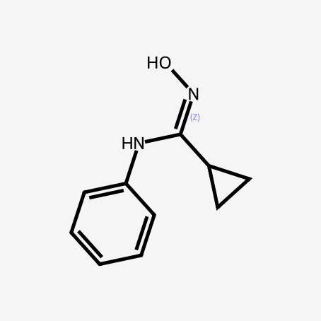 O/N=C(\Nc1ccccc1)C1CC1